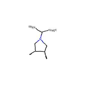 CCCCCCCC(CCCCCC)N1CC(C)C(C)C1